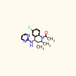 CC(=O)N1c2ccc(F)cc2[C@H](Nc2ncccn2)[C@@H](C)[C@@H]1C